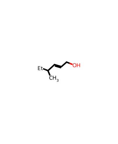 CCC(C)C=CCO